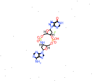 Nc1ncnc2c1ncn2[C@H]1C[C@@H]2NS(=O)(=O)OC[C@H]3O[C@@H](n4nnc5c(=O)[nH]cnc54)[C@H](F)[C@@H]3OP(=O)(O)OC[C@H]2O1